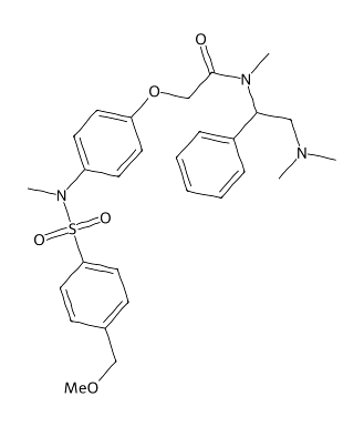 COCc1ccc(S(=O)(=O)N(C)c2ccc(OCC(=O)N(C)C(CN(C)C)c3ccccc3)cc2)cc1